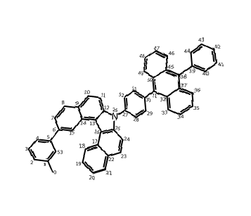 Cc1cccc(-c2ccc3ccc4c(c3c2)c2c3ccccc3ccc2n4-c2ccc(-c3c4ccccc4c(-c4ccccc4)c4ccccc34)cc2)c1